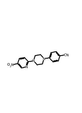 N#Cc1ccc(N2CCN(c3ccc([N+](=O)[O-])cn3)CC2)cc1